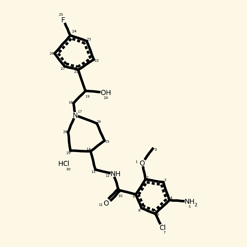 COc1cc(N)c(Cl)cc1C(=O)NCC1CCN(CC(O)c2ccc(F)cc2)CC1.Cl